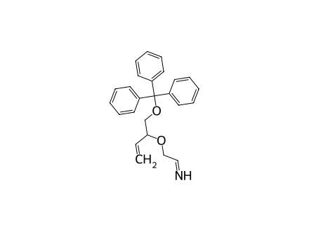 C=CC(COC(c1ccccc1)(c1ccccc1)c1ccccc1)OCC=N